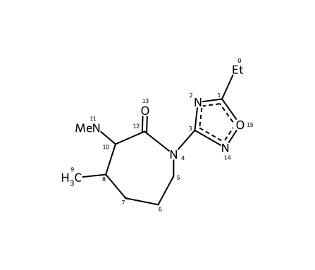 CCc1nc(N2CCCC(C)C(NC)C2=O)no1